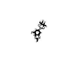 Cc1nc2cc(B3OC(C)(C)C(C)(C)O3)cc(F)c2s1